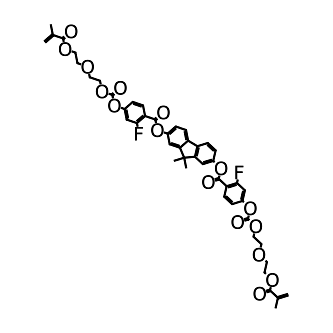 C=C(C)C(=O)OCCOCCOC(=O)Oc1ccc(C(=O)Oc2ccc3c(c2)C(C)(C)c2cc(OC(=O)c4ccc(OC(=O)OCCOCCOC(=O)C(=C)C)cc4F)ccc2-3)c(F)c1